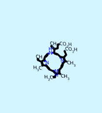 C=CC1=C(C)c2cc3[nH]c(cc4nc(cc(/C(=C/C)CCC(=O)O)[nH]ccc1n2)C(CCC(=O)O)=C4C)c(C)c3C=C